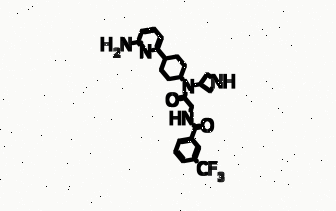 Nc1cccc(C2CCC(N(C(=O)CNC(=O)c3cccc(C(F)(F)F)c3)C3CNC3)CC2)n1